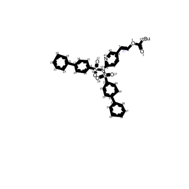 CC(C)(C)C(=O)O/C=C/c1ccc(N(S(=O)(=O)c2ccc(-c3ccccc3)cc2)S(=O)(=O)c2ccc(-c3ccccc3)cc2)nc1